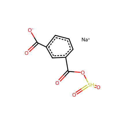 O=C([O-])c1cccc(C(=O)O[SH](=O)=O)c1.[Na+]